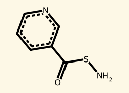 NSC(=O)c1cccnc1